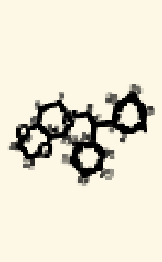 c1ccc(C(CN2CCC3OCCOC3C2)c2ccccc2)cc1